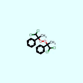 CC(OOC(C)(c1ccccc1)C(Cl)Cl)(c1ccccc1)C(Cl)Cl